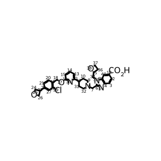 O=C(O)c1ccc2nc(CN3CCC(c4cccc(OCc5ccc(C6COC6)cc5Cl)n4)CC3)n(CC3CCO3)c2c1